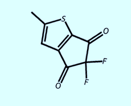 Cc1cc2c(s1)C(=O)C(F)(F)C2=O